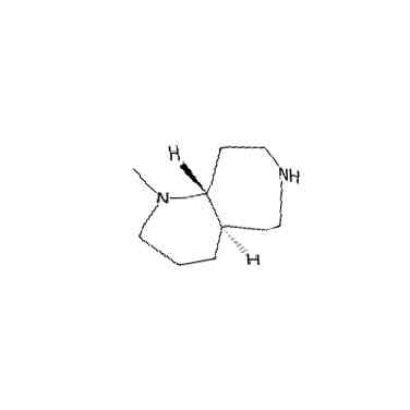 CN1CCC[C@@H]2CNCC[C@H]21